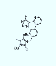 CCCCc1c(C)n(C(C)CC)c(=O)n1Cc1ccc(-c2cccnc2-c2nnn[nH]2)cc1